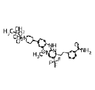 COc1cc(C2CCN(C(=O)OC(C)(C)C)CC2)ccc1Nc1ncc(C(F)(F)F)c(CCc2cccc(C(N)=O)c2)n1